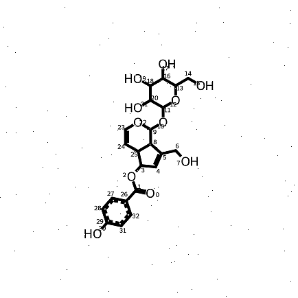 O=C(OC1C=C(CO)C2C(OC3OC(CO)C(O)C(O)C3O)OC=CC12)c1ccc(O)cc1